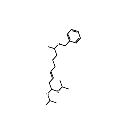 CC(C)OC(CC=CCCCC(C)OCc1ccccc1)OC(C)C